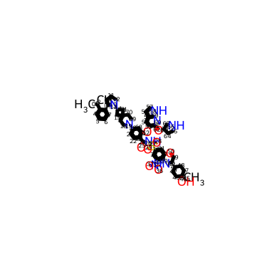 CC(C)c1ccccc1[C@H]1CCCN1C1CC2(CCN(c3ccc(C(=O)NS(=O)(=O)c4cc5c(c([N+](=O)[O-])c4)N[C@@H](C4CCC(C)(O)CC4)CO5)c(Oc4cc5cc[nH]c5nc4O[C@@H]4CCNC4)c3)CC2)C1